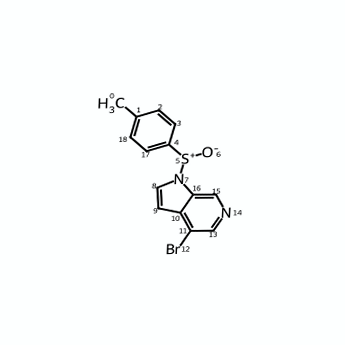 Cc1ccc([S+]([O-])n2ccc3c(Br)cncc32)cc1